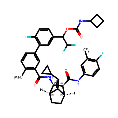 COc1ccc(-c2cc(C(OC(=O)NC3CCC3)C(F)F)ccc2F)cc1C(=O)N[C@H]1[C@@H](C(=O)Nc2ccc(F)c(C(F)(F)F)c2)[C@H]2CC[C@@H]1/C2=C\C1CC1